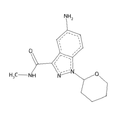 CNC(=O)c1nn(C2CCCCO2)c2ccc(N)cc12